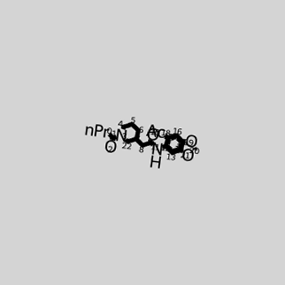 CCCC(=O)N1CCCC(CC(=O)Nc2cc3c(cc2C(C)=O)OCO3)C1